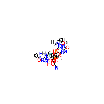 C=CCOP(=O)(OCCC#N)[C@@]1(C)C(COP(=O)(OCCC#N)[C@@]2(C)C(CO)OC(n3cnc4c(NC(=O)c5ccccc5)ncnc43)[C@@H]2F)OC(n2cnc3c(=O)[nH]c(NC(=O)C(C)C)nc32)[C@@H]1F